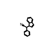 N#CC(c1ccccc1)C1C=Cc2ccccc21